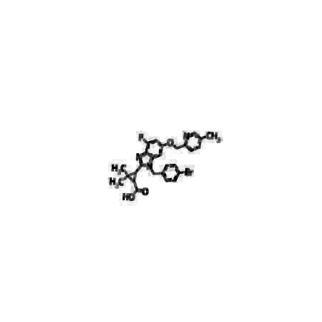 Cc1ccc(COc2cc(F)c3nc(C4C(C(=O)O)C4(C)C)n(Cc4ccc(Br)cc4)c3c2)nc1